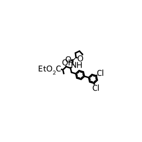 CCOC(=O)C(C)C(O)C(Cc1ccc(-c2cc(Cl)cc(Cl)c2)cc1)NC(=O)[C@H]1CCCO1